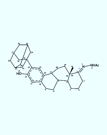 CC(=O)N/N=C1\CCCC2C3CCc4cc(O)c(C56CC7CC(CC(C7)C5)C6)cc4C3CC[C@]12C